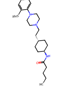 CSc1ccccc1N1CCN(CC[C@H]2CC[C@H](NC(=O)CCCC#N)CC2)CC1